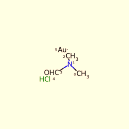 CN(C)C=O.Cl.[Au]